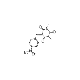 CCN(CC)c1ccc(C=C2C(=O)C(C)C(=O)N(C)C2=O)cc1